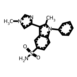 Cc1c(-c2cn(C)cn2)c2cc(S(N)(=O)=O)ccc2n1-c1ccccc1